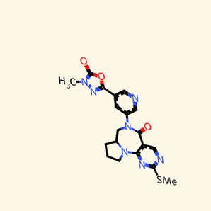 CSc1ncc2c(n1)N1CCCC1CN(c1cncc(-c3nn(C)c(=O)o3)c1)C2=O